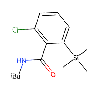 CCC(C)NC(=O)c1c(Cl)cccc1[Si](C)(C)C